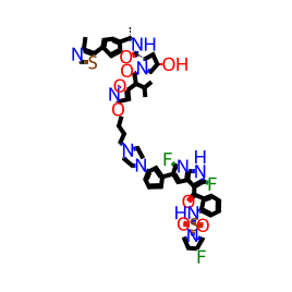 Cc1ncsc1-c1ccc([C@H](C)NC(=O)[C@@H]2C[C@@H](O)CN2C(=O)C(c2cc(OCCCCN3CCN(c4cccc(-c5cc6c(C(=O)c7ccccc7NS(=O)(=O)N7CCC(F)C7)c(F)[nH]c6nc5F)c4)CC3)no2)C(C)C)cc1